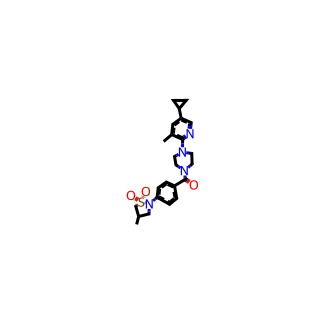 Cc1cc(C2CC2)cnc1N1CCN(C(=O)c2ccc(N3CC(C)CS3(=O)=O)cc2)CC1